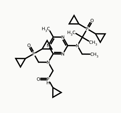 CCN(c1nc(C)nc(N(C[PH](=O)C2CC2)CP(=O)(C2CC2)C2CC2)n1)C(C)(C)P(=O)(C1CC1)C1CC1